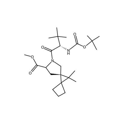 COC(=O)C1C[C@@]2(CN1C(=O)[C@@H](NC(=O)OC(C)(C)C)C(C)(C)C)C(C)(C)C21CCC1